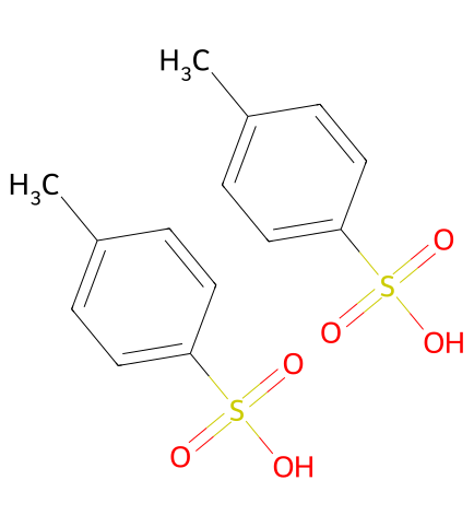 Cc1ccc(S(=O)(=O)O)cc1.Cc1ccc(S(=O)(=O)O)cc1